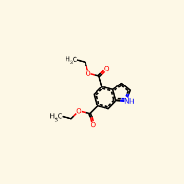 CCOC(=O)c1cc(C(=O)OCC)c2cc[nH]c2c1